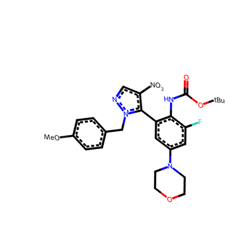 COc1ccc(Cn2ncc([N+](=O)[O-])c2-c2cc(N3CCOCC3)cc(F)c2NC(=O)OC(C)(C)C)cc1